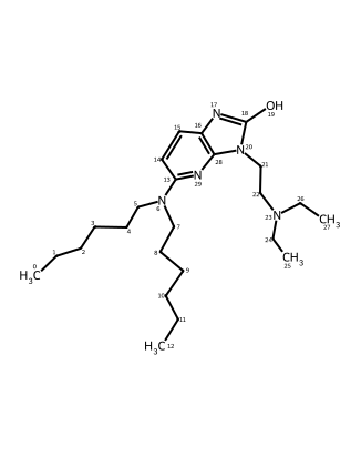 CCCCCCN(CCCCCC)c1ccc2nc(O)n(CCN(CC)CC)c2n1